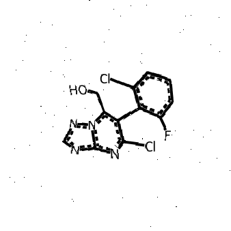 OCc1c(-c2c(F)cccc2Cl)c(Cl)nc2ncnn12